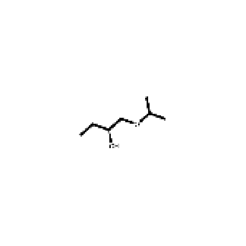 CC[C@H](O)COC(C)C